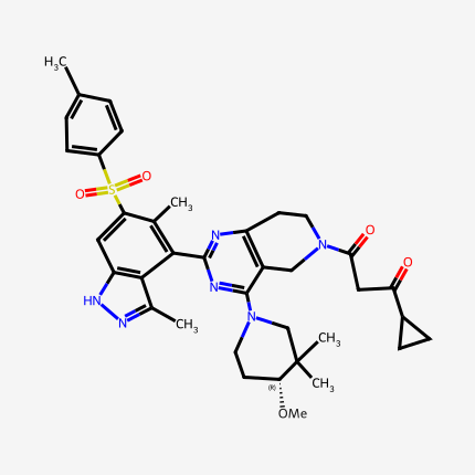 CO[C@@H]1CCN(c2nc(-c3c(C)c(S(=O)(=O)c4ccc(C)cc4)cc4[nH]nc(C)c34)nc3c2CN(C(=O)CC(=O)C2CC2)CC3)CC1(C)C